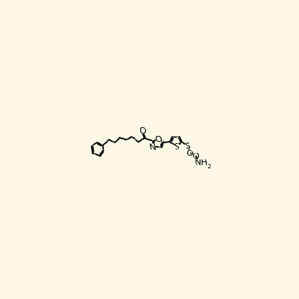 NOOSc1ccc(-c2cnc(C(=O)CCCCCCc3ccccc3)o2)s1